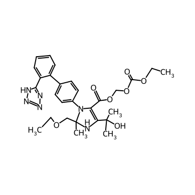 CCOCC1(C)NC(C(C)(C)O)=C(C(=O)OCOC(=O)OCC)N1c1ccc(-c2ccccc2-c2nnn[nH]2)cc1